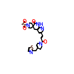 CS(=O)(=O)N1CCC2(CC1)Cc1cc(C=CC(=O)N3CC=C(Cc4nccs4)CC3)cnc1NC2=O